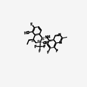 CC[C@@H]1C[C@](O)(C(F)(F)F)[C@@H](Nc2cc(F)c(F)c3nc(C)ncc23)c2ccc(F)c(O)c21